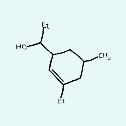 CCC1=CC(C(O)CC)CC(C)C1